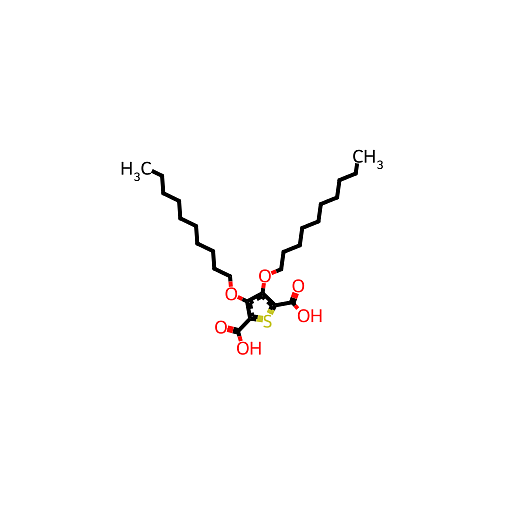 CCCCCCCCCCOc1c(C(=O)O)sc(C(=O)O)c1OCCCCCCCCCC